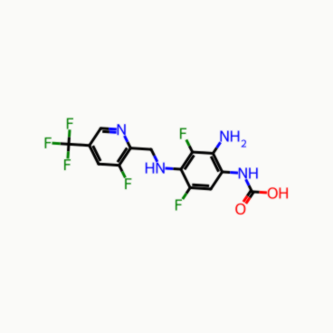 Nc1c(NC(=O)O)cc(F)c(NCc2ncc(C(F)(F)F)cc2F)c1F